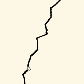 [CH2]COCCCCCCCC